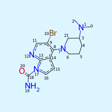 CN(C)C1CCCN(c2c(Br)cnc3c2[c]cn3C(N)=O)C1